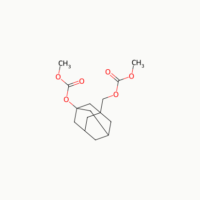 COC(=O)OCC12CC3CC(C1)CC(OC(=O)OC)(C3)C2